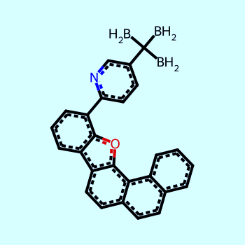 BC(B)(B)c1ccc(-c2cccc3c2oc2c3ccc3ccc4ccccc4c32)nc1